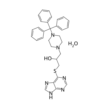 O.OC(CSc1ncnc2[nH]cnc12)CN1CCN(C(c2ccccc2)(c2ccccc2)c2ccccc2)CC1